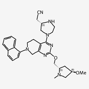 CO[C@@H]1C[C@@H](COc2nc3c(c(N4CCN[C@@H](CC#N)C4)n2)CCN(c2cccc4ccccc24)C3)N(C)C1